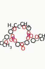 CC1(C)Cc2cccc(OP3Oc4cccc5c4OC(C)(C5)CC4(C)Cc5cccc(c5O4)OP(Oc4cccc5c4OC(C)(C)C5)Oc4cccc5c4C(=O)c4c(cccc4C5=O)O3)c2O1